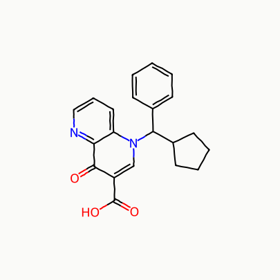 O=C(O)c1cn(C(c2ccccc2)C2CCCC2)c2cccnc2c1=O